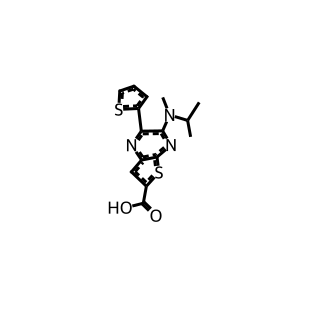 CC(C)N(C)c1nc2sc(C(=O)O)cc2nc1-c1cccs1